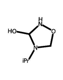 CC(C)N1CONC1O